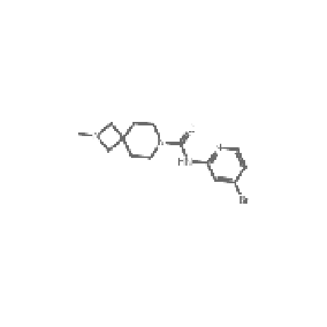 CN1CC2(CCN(C(=O)Nc3cc(Br)ccn3)CC2)C1